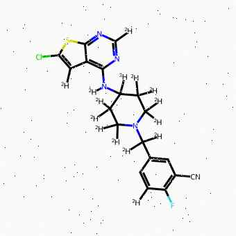 [2H]c1nc(N([2H])C2([2H])C([2H])([2H])C([2H])([2H])N(C([2H])([2H])c3cc([2H])c(F)c(C#N)c3)C([2H])([2H])C2([2H])[2H])c2c([2H])c(Cl)sc2n1